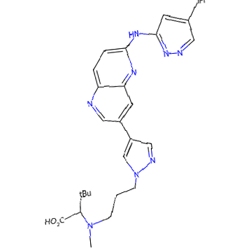 CC(C)c1cnnc(Nc2ccc3ncc(-c4cnn(CCCN(C)C(C(=O)O)C(C)(C)C)c4)cc3n2)c1